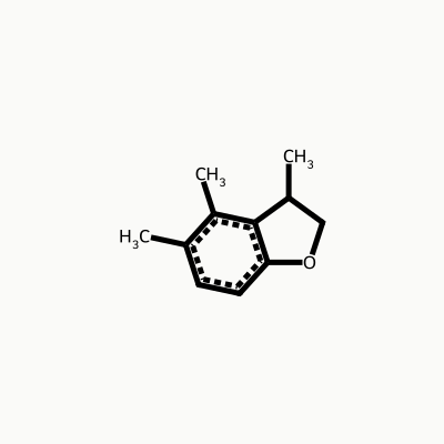 Cc1ccc2c(c1C)C(C)CO2